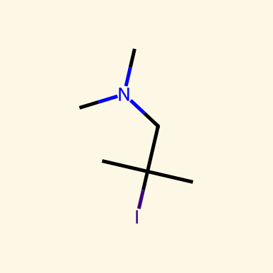 CN(C)CC(C)(C)I